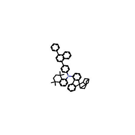 CC1(C)CCC(C)(C)c2c(N(c3ccc(-c4ccc(-c5ccccc5)c5ccccc45)cc3)c3cccc4c3-c3ccccc3C43C4CC5CC(C4)C3C5)cccc21